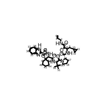 C=CCNC(=O)C(=O)C(CC1CC1)NC(=O)[C@@H]1CCCN1C(=O)[C@@H](NC(=O)[C@@H](NS(=O)(=O)c1nc2ccccc2[nH]1)C1(C)CCCCC1)C(C)(C)C